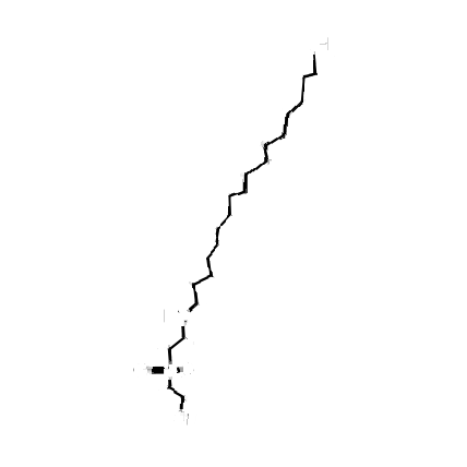 CCCCCCCCCCCCCCCCCCNCCS(=O)(=O)CCO